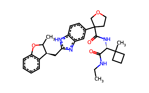 CCNC(=O)[C@H](NC(=O)C1(c2ccc3[nH]c(C[C@H]4c5ccccc5OC4C)nc3c2)CCOC1)C1(C)CCC1